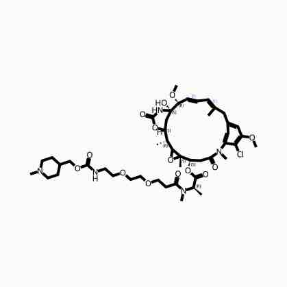 COc1cc2cc(c1Cl)N(C)C(=O)C[C@H](OC(=O)[C@@H](C)N(C)C(=O)CCOCCOCCNC(=O)OCC1CCN(C)CC1)[C@]1(C)OC1[C@H](C)[C@@H]1C[C@@](O)(NC(=O)O1)[C@H](OC)/C=C/C=C(\C)C2